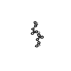 c1cc(-c2ccc3sc4ccccc4c3c2)cc(-n2c3ccccc3c3cc(Oc4ccc5c(c4)c4ccccc4n5-c4cccc(-c5ccc6sc7ccccc7c6c5)c4)ccc32)c1